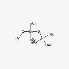 CCC[CH2][Sn]([CH2]CCC)([O]CCC)[O][Sn]([CH2]CCC)([CH2]CCC)[O]C(C)=O